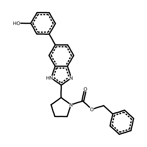 O=C(OCc1ccccc1)N1CCCC1c1nc2ccc(-c3cccc(O)c3)cc2[nH]1